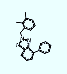 Cc1cccc(Cn2nc3cccc(-c4ccccc4)c3n2)c1C